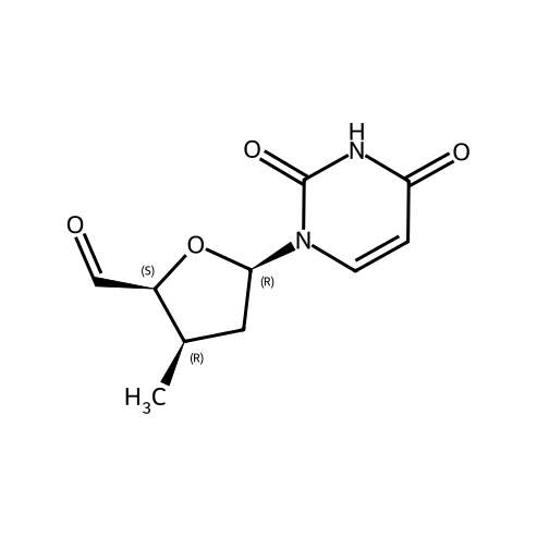 C[C@@H]1C[C@H](n2ccc(=O)[nH]c2=O)O[C@@H]1C=O